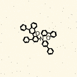 c1ccc(-c2ccc(N(c3cccc4c3oc3ccccc34)c3ccc(-c4ccccc4)c4c3oc3c5ccccc5c(-c5ccccc5)cc34)cc2)cc1